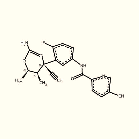 C#C[C@]1(c2cc(NC(=O)c3ccc(C#N)cn3)ccc2F)N=C(N)O[C@H](C)[C@@H]1C